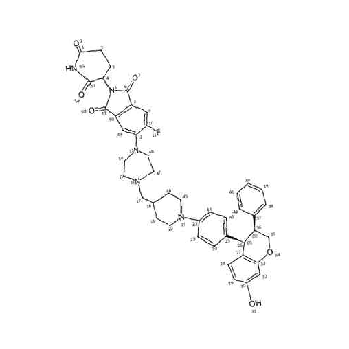 O=C1CCC(N2C(=O)c3cc(F)c(N4CCN(CC5CCN(c6ccc([C@@H]7c8ccc(O)cc8OC[C@@H]7c7ccccc7)cc6)CC5)CC4)cc3C2=O)C(=O)N1